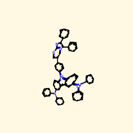 c1ccc(-c2nc3ncc(-c4ccc(-n5c6ccc(N(c7ccccc7)c7ccccc7)cc6c6cc(N(c7ccccc7)c7ccccc7)ccc65)cc4)cn3c2-c2ccccc2)cc1